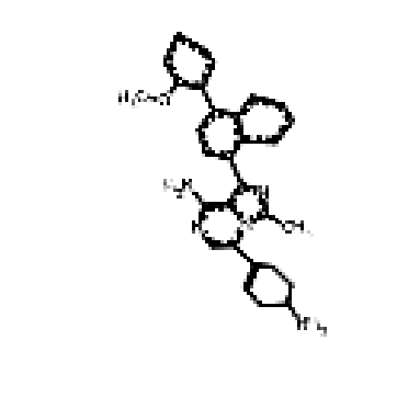 COc1[c]cccc1-c1ccc(-c2nc(C)n3c(C4=CCC(N)CC4)cnc(N)c23)c2ccccc12